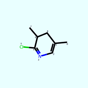 CC1=CN=C(Cl)C(C)C1